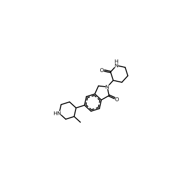 CC1CNCCC1c1ccc2c(c1)CN(C1CCCNC1=O)C2=O